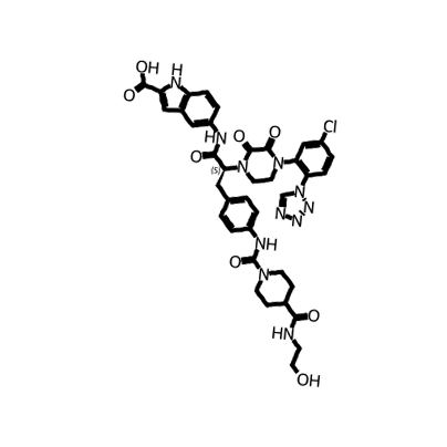 O=C(O)c1cc2cc(NC(=O)[C@H](Cc3ccc(NC(=O)N4CCC(C(=O)NCCO)CC4)cc3)N3CCN(c4cc(Cl)ccc4-n4cnnn4)C(=O)C3=O)ccc2[nH]1